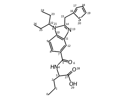 CCCC(NC(=O)c1ccc2c(c1)nc(Cc1cccs1)n2C(CC)CC)C(=O)O